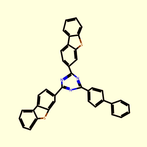 c1ccc(-c2ccc(-c3nc(-c4ccc5c(c4)sc4ccccc45)nc(-c4ccc5c(c4)sc4ccccc45)n3)cc2)cc1